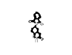 O=C1c2ccccc2C(=O)N1C1CCc2n[nH]c(=O)cc2C1